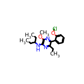 CCc1nc(NC(CC)CC)c(OC)nc1-c1ccccc1OCl